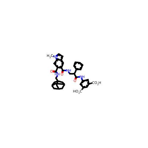 Cn1ccc2cc(C(=O)NCC(C(=O)Nc3cc(C(=O)O)cc(C(=O)O)c3)c3ccccc3)c(C(=O)NCC34CC5CC(CC(C5)C3)C4)cc21